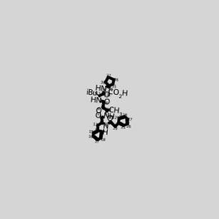 CC[C@H](C)[C@H](NC(=O)C(=O)C(C)NC(=O)C(Cc1ccccc1)NC(=O)Cc1ccccc1)C(=O)NC1(C(=O)O)CCCC1